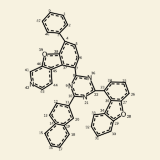 c1ccc(-c2ccc(-c3nc(-c4ccc5ccccc5c4)nc(-c4cccc5oc6ccccc6c45)n3)c3c2oc2cnccc23)cc1